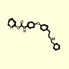 O=C(Nc1ccc(Oc2ccc(CCNCc3ccccc3)cc2)cc1)Oc1ccccn1